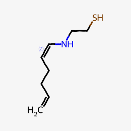 C=CCC/C=C\NCCS